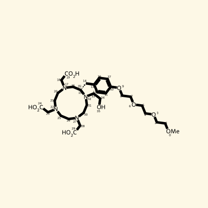 COCCOCCOCCOc1ccc(C[C@H]2CN(CC(=O)O)CCN(CC(=O)O)CCN(CC(=O)O)CCN2CCO)cc1